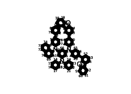 c1ccc(-c2ccc(N(c3cc(N(c4ccccc4)c4ccccc4)cc(N(c4ccc(-c5ccc6oc7ccccc7c6c5)cc4)c4ccc(-c5cccc6c5oc5ccccc56)cc4)c3)c3cccc4ccccc34)cc2)cc1